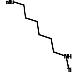 CCCCCCCCCC[NH][Ti]